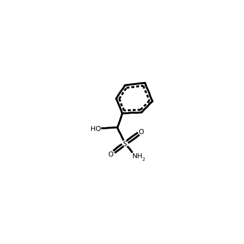 NS(=O)(=O)C(O)c1ccccc1